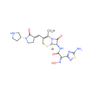 Nc1nc(/C(=N/O)C(=O)N[C@@H]2C(=O)N3C(C(=O)O)=C(/C=C4\CCN([C@@H]5CCNC5)C4=O)CS[C@H]23)ns1